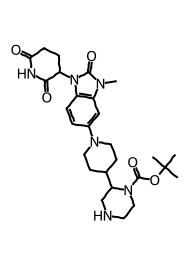 Cn1c(=O)n(C2CCC(=O)NC2=O)c2ccc(N3CCC(C4CNCCN4C(=O)OC(C)(C)C)CC3)cc21